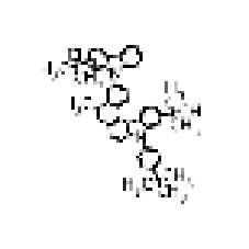 CC(Cc1ccc2c(c1)c1ccc(C(C)(C)C)cc1n2-c1ccc(C(C)(C)C)cc1)c1cccc(-n2c3ccccc3c3ccc(C(C)(C)C)cc32)c1